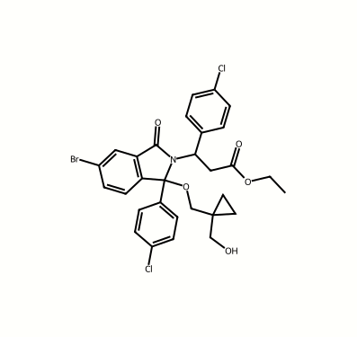 CCOC(=O)CC(c1ccc(Cl)cc1)N1C(=O)c2cc(Br)ccc2C1(OCC1(CO)CC1)c1ccc(Cl)cc1